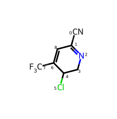 N#CC1=NCC(Cl)C(C(F)(F)F)=C1